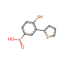 O=S(O)c1ccc(S)c(-c2cccs2)c1